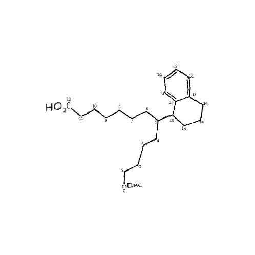 CCCCCCCCCCCCCCC(CCCCCCC(=O)O)C1CCCc2ccccc21